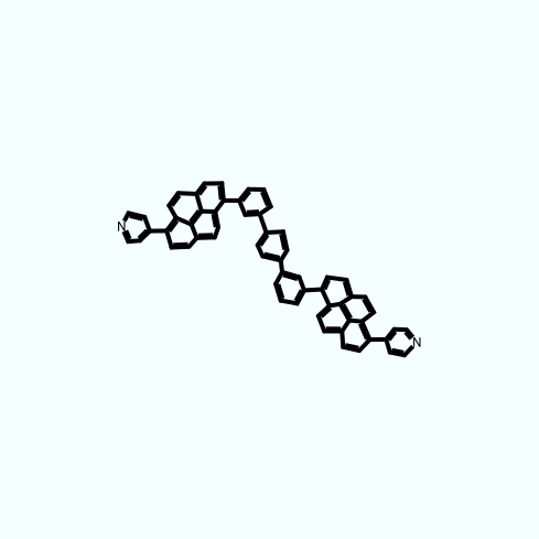 c1cc(-c2ccc(-c3cccc(-c4ccc5ccc6c(-c7ccncc7)ccc7ccc4c5c76)c3)cc2)cc(-c2ccc3ccc4c(-c5ccncc5)ccc5ccc2c3c54)c1